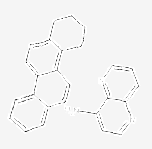 Nc1ccnc2cccnc12.c1ccc2c(c1)ccc1c3c(ccc12)CCCC3